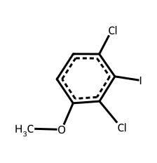 COc1ccc(Cl)c(I)c1Cl